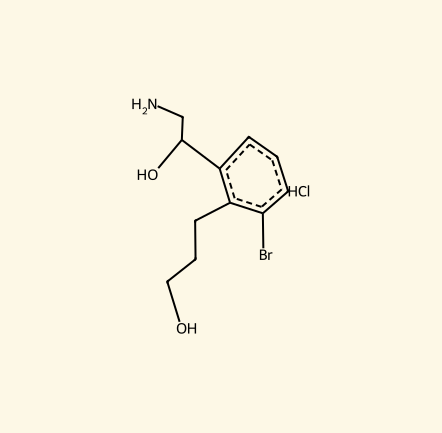 Cl.NCC(O)c1cccc(Br)c1CCCO